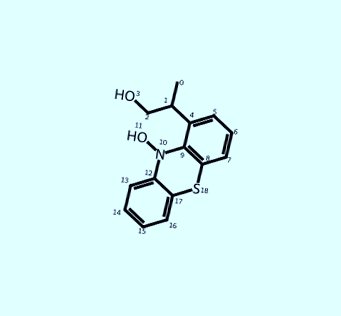 CC(CO)c1cccc2c1N(O)c1ccccc1S2